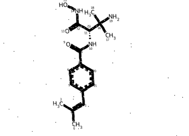 CC(C)=Cc1ccc(C(=O)N[C@H](C(=O)NO)C(C)(C)N)cc1